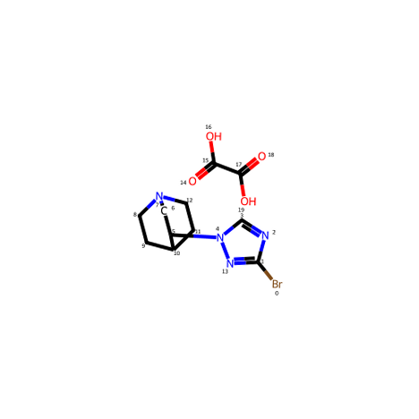 Brc1ncn(C2CN3CCC2CC3)n1.O=C(O)C(=O)O